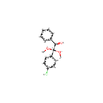 COC(OC)(C(=O)c1ccccc1)c1ccc(Cl)cc1